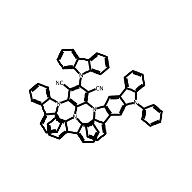 N#Cc1c(-n2c3ccccc3c3ccccc32)c(C#N)c(-n2c3ccccc3c3cc4c(cc32)c2ccccc2n4-c2ccccc2)c(-n2c3ccccc3c3ccccc32)c1-n1c2ccccc2c2ccccc21